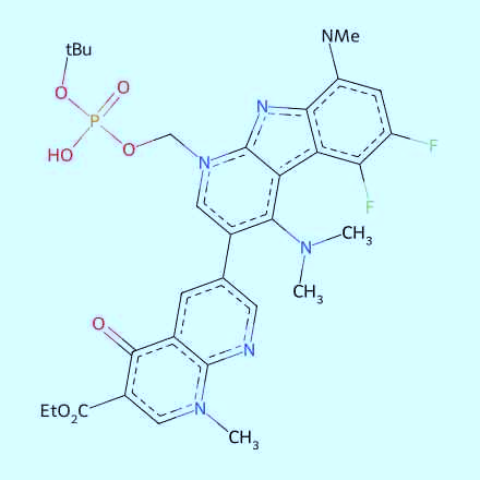 CCOC(=O)c1cn(C)c2ncc(-c3cn(COP(=O)(O)OC(C)(C)C)c4nc5c(NC)cc(F)c(F)c5c-4c3N(C)C)cc2c1=O